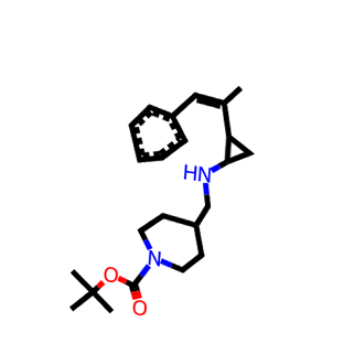 CC(=Cc1ccccc1)C1CC1NCC1CCN(C(=O)OC(C)(C)C)CC1